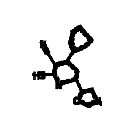 N#Cc1c(-c2ccccc2)cc(-c2cnco2)nc1S